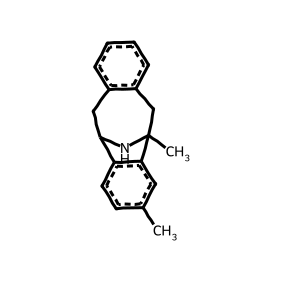 Cc1ccc2c(c1)C1(C)Cc3ccccc3CC2N1